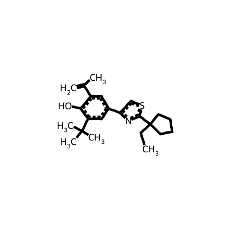 C=C(C)c1cc(-c2csc(C3(CC)CCCC3)n2)cc(C(C)(C)C)c1O